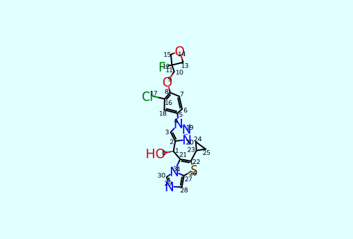 O[C@@H](c1cn(-c2ccc(OCC3(F)COC3)c(Cl)c2)nn1)c1c(C2CC2)sc2cncn12